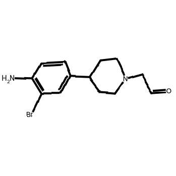 Nc1ccc(C2CCN(CC=O)CC2)cc1Br